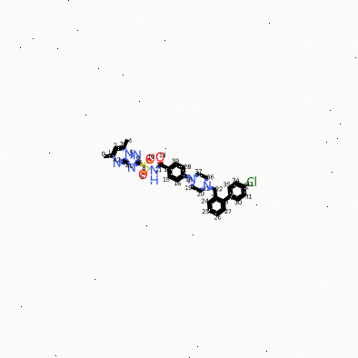 Cc1cc(C)n2nc(S(=O)(=O)NC(=O)c3ccc(N4CCN(Cc5ccccc5-c5ccc(Cl)cc5)CC4)cc3)nc2n1